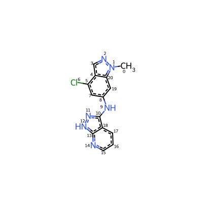 Cn1ncc2c(Cl)cc(Nc3n[nH]c4ncccc34)cc21